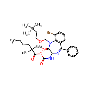 CCCC(CCCC(F)(F)F)(C(=O)OC(=O)NC1N=C(c2ccccc2)c2cccc(Br)c2N(COCC[Si](C)(C)C)C1=O)C(C)(C)C